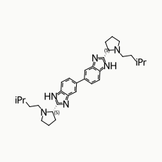 CC(C)CCN1CCC[C@H]1c1nc2cc(-c3ccc4[nH]c([C@@H]5CCCN5CCC(C)C)nc4c3)ccc2[nH]1